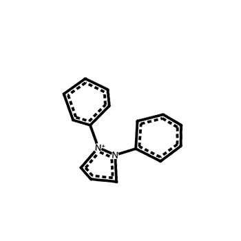 c1ccc(-n2ccc[n+]2-c2ccccc2)cc1